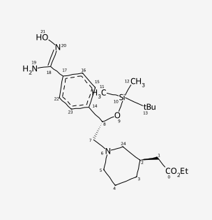 CCOC(=O)C[C@H]1CCCN(C[C@@H](O[Si](C)(C)C(C)(C)C)c2ccc(/C(N)=N/O)cc2)C1